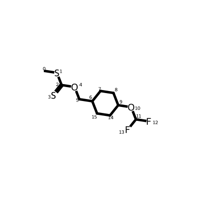 CSC(=S)OCC1CCC(OC(F)F)CC1